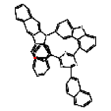 c1ccc(-c2nc(-c3ccc4ccccc4c3)nc(-c3cccc4sc5ccc(-n6c7cc8ccccc8cc7c7cc8ccccc8cc76)cc5c34)n2)cc1